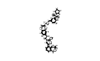 CC1(C)OCc2cccc([C@@H]3CN(CCc4ccc5c(c4)O[C@H](COCc4cccc(S(=O)(=O)C6CCCC6)c4)CO5)C(=O)O3)c2O1